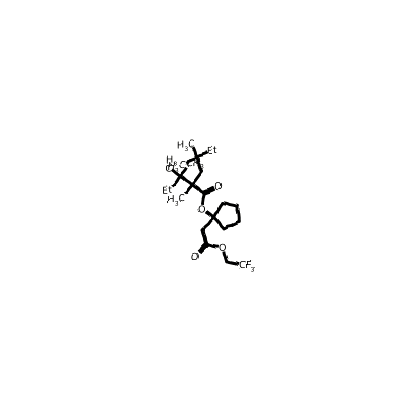 CCC(C)(C)CC(C)(C(=O)OC1(CC(=O)OCC(F)(F)F)CCCC1)C(C)(C)CC